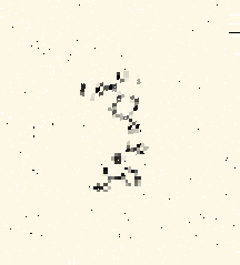 CC(C)c1ccc(OCC(=O)Nc2cscc2C(=O)O)cc1